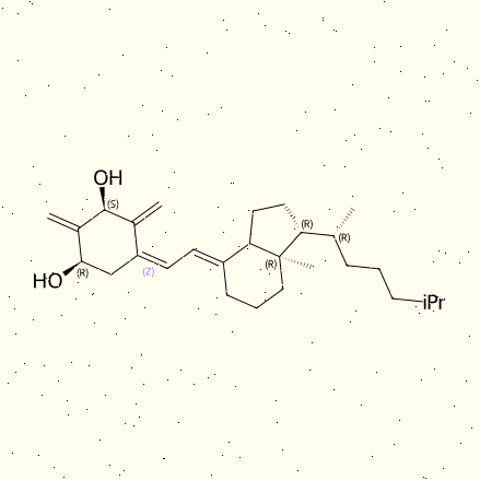 C=C1/C(=C\C=C2CCC[C@@]3(C)C2CC[C@@H]3[C@H](C)CCCC(C)C)C[C@@H](O)C(=C)[C@H]1O